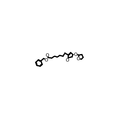 O=C(CCCCCCC1=C[C@H](OC2CCCO2)CC1=O)OCc1ccccc1